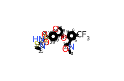 Cc1nc(-c2cc(C(F)(F)F)ccc2OC2CCOc3cc(S(=O)(=O)Nc4nccs4)ccc32)co1